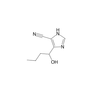 CCCC(O)c1nc[nH]c1C#N